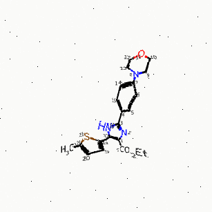 CCOC(=O)c1nc(-c2ccc(N3CCOCC3)cc2)[nH]c1-c1ccc(C)s1